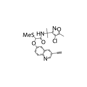 C#Cc1cnc2ccc(OC(SC)C(=O)NC(C)(C)c3noc(C)c3Cl)cc2c1